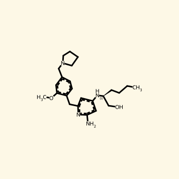 CCCC[C@@H](CO)Nc1cc(N)nc(Cc2ccc(CN3CCCC3)cc2OC)c1